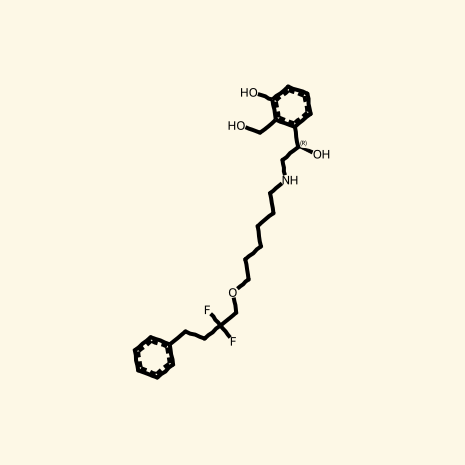 OCc1c(O)cccc1[C@@H](O)CNCCCCCCOCC(F)(F)CCc1ccccc1